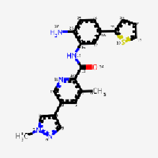 Cc1cc(-c2cnn(C)c2)cnc1C(=O)Nc1cc(-c2cccs2)ccc1N